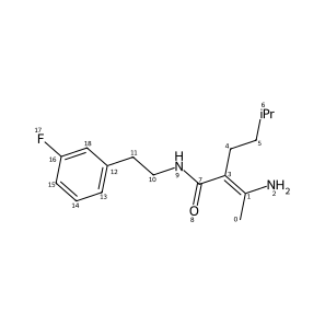 C/C(N)=C(/CCC(C)C)C(=O)NCCc1cccc(F)c1